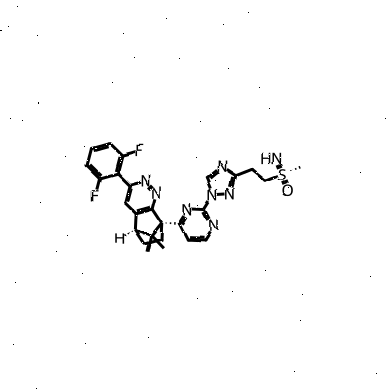 CC1(C)[C@H]2CC[C@]1(c1ccnc(-n3cnc(CC[S@@](C)(=N)=O)n3)n1)c1nnc(-c3c(F)cccc3F)cc12